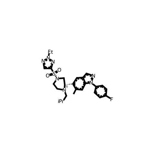 CCn1ncc(S(=O)(=O)N2CCN(CC(C)C)[C@@H](c3cc4cnn(-c5ccc(F)cc5)c4cc3C)C2)n1